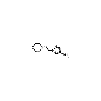 Bc1cnn(CCN2CCOCC2)c1